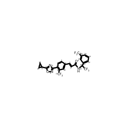 O=C(C=Cc1ccc(-c2noc(C3CC3)n2)c(C(F)(F)F)c1)NC(c1cccc(C(F)(F)F)c1)C(F)(F)F